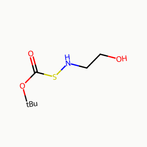 CC(C)(C)OC(=O)SNCCO